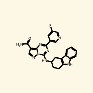 NC(=O)c1cnn2c(NC3CCc4[nH]c5ccccc5c4C3)nc(-c3cncc(F)c3)nc12